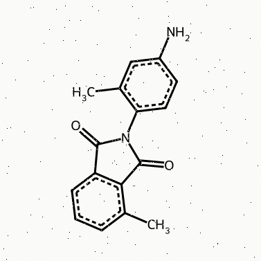 Cc1cc(N)ccc1N1C(=O)c2cccc(C)c2C1=O